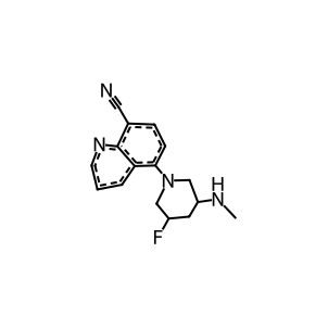 CNC1CC(F)CN(c2ccc(C#N)c3ncccc23)C1